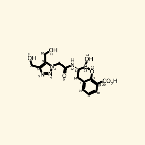 O=C(Cn1nnc(CO)c1CO)N[C@H]1Cc2cccc(C(=O)O)c2OB1O